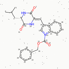 CC(C)C[C@@H]1NC(=O)/C(=C/c2cn(C(=O)OCc3ccccc3)c3ccccc23)NC1=O